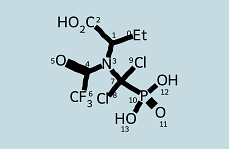 CCC(C(=O)O)N(C(=O)C(F)(F)F)C(Cl)(Cl)P(=O)(O)O